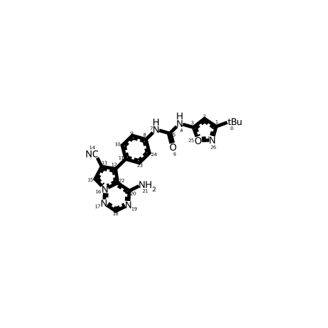 CC(C)(C)c1cc(NC(=O)Nc2ccc(-c3c(C#N)cn4ncnc(N)c34)cc2)on1